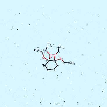 CCOC1(OCC)CCC[Te]C1(OCC)OCC